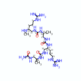 CN[C@@H](CCCNC(=N)N)CNC(=O)N[C@@H](C)CNC(=O)N[C@@H](CCCNC(=N)N)CNC(=O)N[C@@H](C)CNC(N)=O